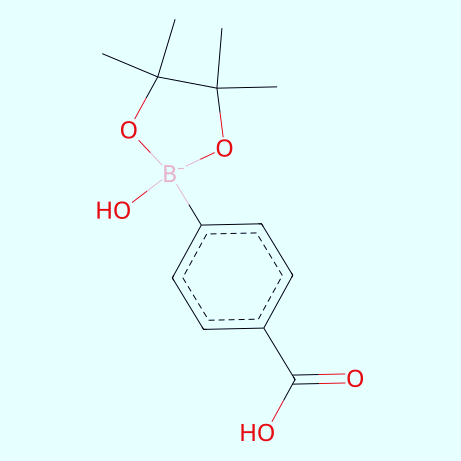 CC1(C)O[B-](O)(c2ccc(C(=O)O)cc2)OC1(C)C